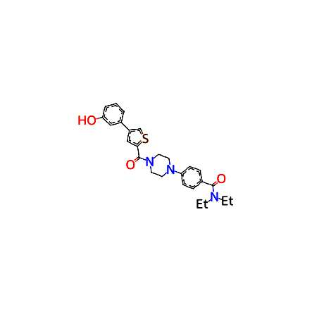 CCN(CC)C(=O)c1ccc(N2CCN(C(=O)c3cc(-c4cccc(O)c4)cs3)CC2)cc1